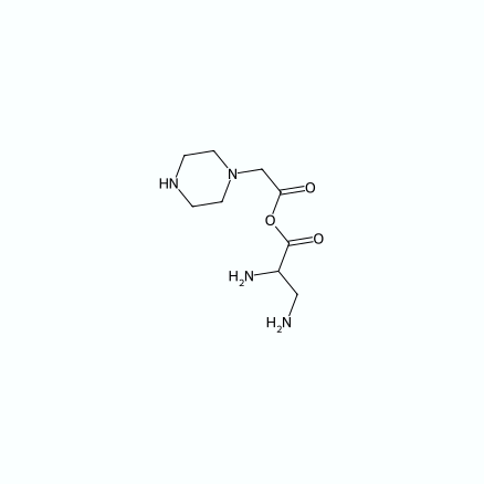 NCC(N)C(=O)OC(=O)CN1CCNCC1